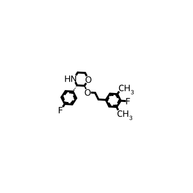 Cc1cc(CCO[C@@H]2OCCN[C@H]2c2ccc(F)cc2)cc(C)c1F